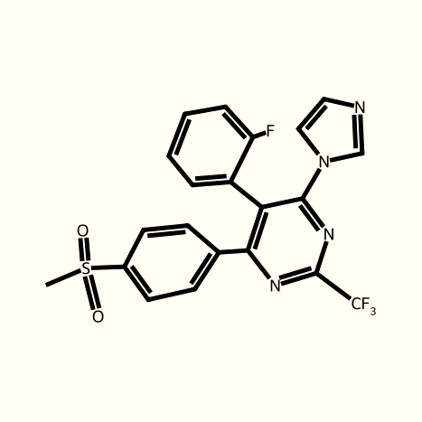 CS(=O)(=O)c1ccc(-c2nc(C(F)(F)F)nc(-n3ccnc3)c2-c2ccccc2F)cc1